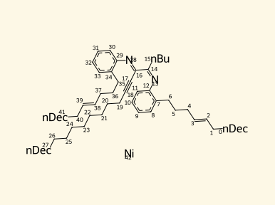 CCCCCCCCCCC/C=C/CCCc1ccccc1/N=C(CCCC)\C(C#CCCCCCCCCCCCCCCCCCC)=N\c1ccccc1CCC/C=C/CCCCCCCCCCC.[Ni]